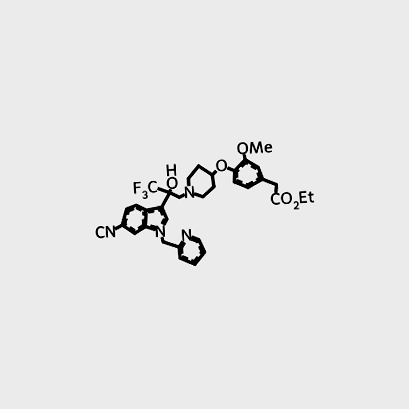 [C-]#[N+]c1ccc2c(C(O)(CN3CCC(Oc4ccc(CC(=O)OCC)cc4OC)CC3)C(F)(F)F)cn(Cc3ccccn3)c2c1